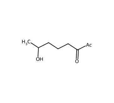 CC(=O)C(=O)CCCC(C)O